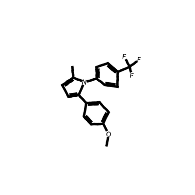 COc1ccc(-c2ccc(C)n2-c2ccc(C(F)(F)F)cc2)cc1